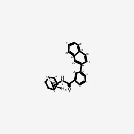 O=C(N[C@H]1CN2CCC1CC2)c1cccc(-c2ccc3ccccc3c2)c1